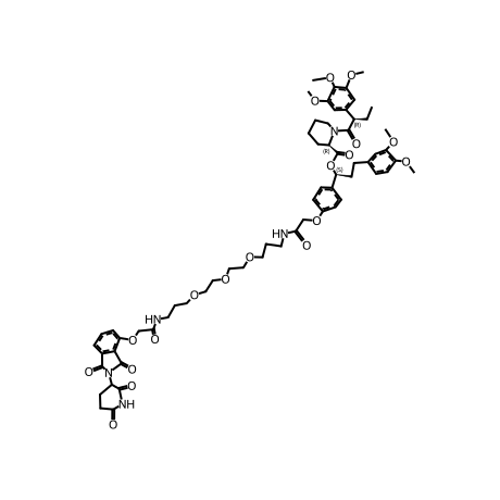 CC[C@@H](C(=O)N1CCCC[C@@H]1C(=O)O[C@@H](CCc1ccc(OC)c(OC)c1)c1ccc(OCC(=O)NCCCOCCOCCOCCCNC(=O)COc2cccc3c2C(=O)N(C2CCC(=O)NC2=O)C3=O)cc1)c1cc(OC)c(OC)c(OC)c1